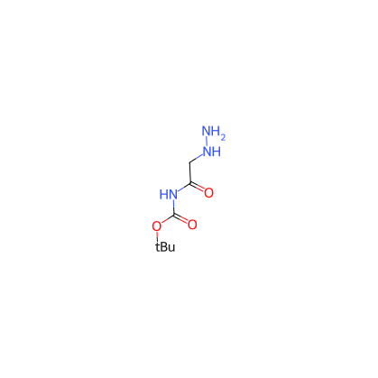 CC(C)(C)OC(=O)NC(=O)CNN